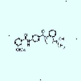 COc1cccc(C(=O)Nc2ccc(C(=O)N3CCCC(N(C)C)c4ccccc43)cc2)c1